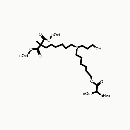 CCCCCCCCOC(=O)C(C)(CCCCCCN(CCCO)CCCCCCOC(=O)C(CCCCCC)CCCCCCCC)C(=O)OCCCCCCCC